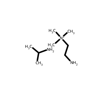 CC(C)N.C[N+](C)(C)CCN